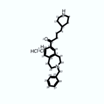 Cl.Cl.O=C(CCCC1CCNCC1)c1ccc2c(c1)CCN(Cc1ccccc1)CC2